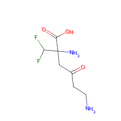 NCCC(=O)CC(N)(C(=O)O)C(F)F